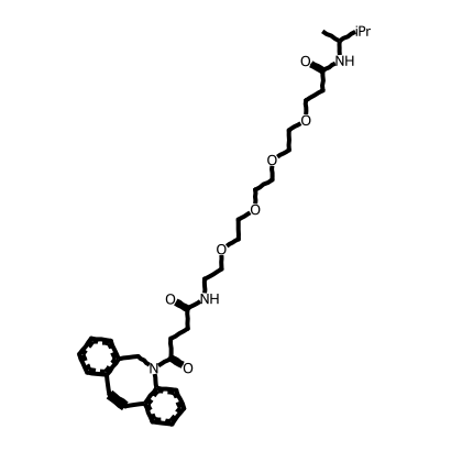 CC(C)C(C)NC(=O)CCOCCOCCOCCOCCNC(=O)CCC(=O)N1Cc2ccccc2C#Cc2ccccc21